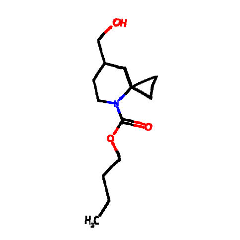 CCCCOC(=O)N1CCC(CO)CC12CC2